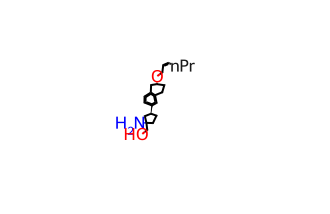 CCC/C=C\COC1CCc2cc([C@H]3CC[C@](N)(CO)C3)ccc2C1